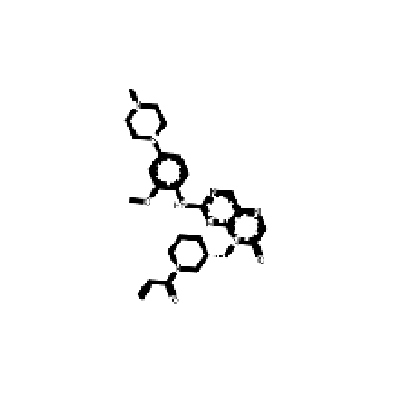 C=CC(=O)N1CCC[C@H](Cn2c(=O)cnc3cnc(Nc4ccc(N5CCN(C)CC5)cc4OC)nc32)C1